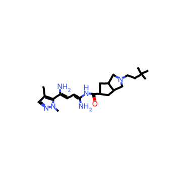 Cc1cnn(C)c1/C(N)=C/C=C(\N)NC(=O)C1CC2CN(CCC(C)(C)C)CC2C1